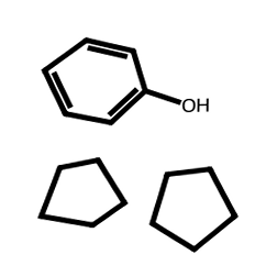 C1CCCC1.C1CCCC1.Oc1ccccc1